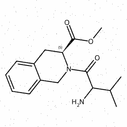 COC(=O)[C@@H]1Cc2ccccc2CN1C(=O)C(N)C(C)C